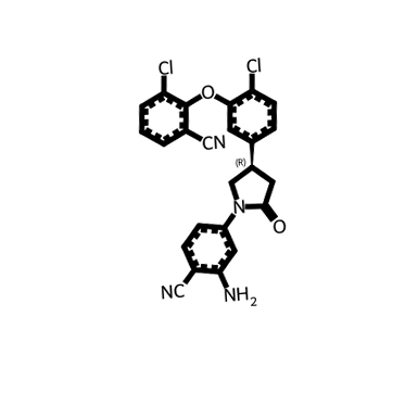 N#Cc1ccc(N2C[C@@H](c3ccc(Cl)c(Oc4c(Cl)cccc4C#N)c3)CC2=O)cc1N